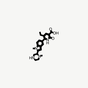 CCc1cc(C(=O)O)c(=O)[nH]c1-c1ccc2c(c1)cc(C1CNCCN1C)n2C